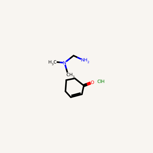 CN(C)CN.Cl.O=C1C=CCCC1